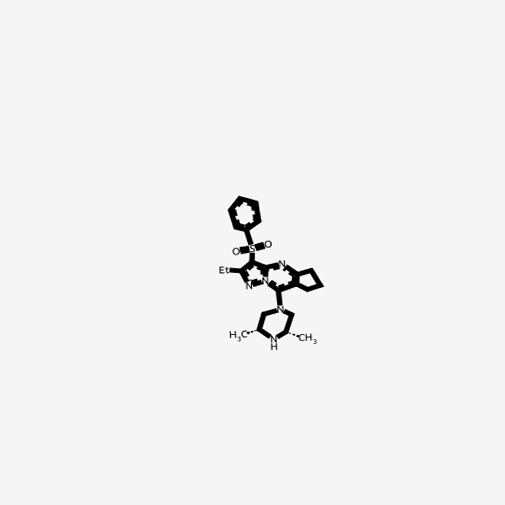 CCc1nn2c(N3C[C@@H](C)N[C@@H](C)C3)c3c(nc2c1S(=O)(=O)c1ccccc1)CCC3